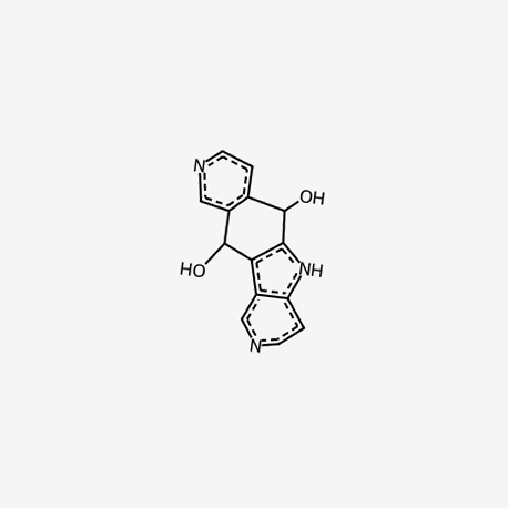 OC1c2ccncc2C(O)c2c1[nH]c1ccncc21